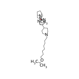 CC(C)OCCCCCCCCN1CCC(c2cnc(N3C4CCC3CN(C)C4)nc2)CC1